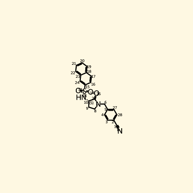 N#Cc1ccc(CN2CC[C@H](NS(=O)(=O)c3ccc4ccccc4c3)C2=O)cc1